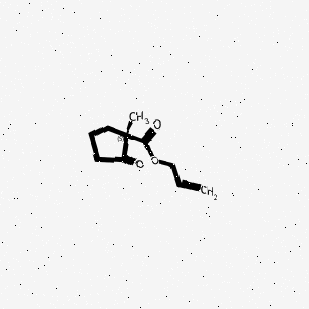 C=CCOC(=O)[C@@]1(C)CCCC1=O